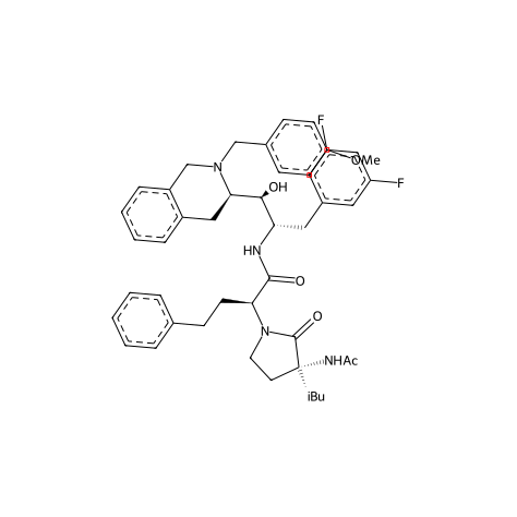 CC[C@@H](C)[C@@]1(NC(C)=O)CCN([C@@H](CCc2ccccc2)C(=O)N[C@@H](Cc2cc(F)cc(F)c2)[C@H](O)[C@H]2Cc3ccccc3CN2Cc2ccc(OC)cc2)C1=O